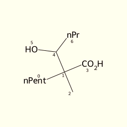 CCCCCC(C)(C(=O)O)C(O)CCC